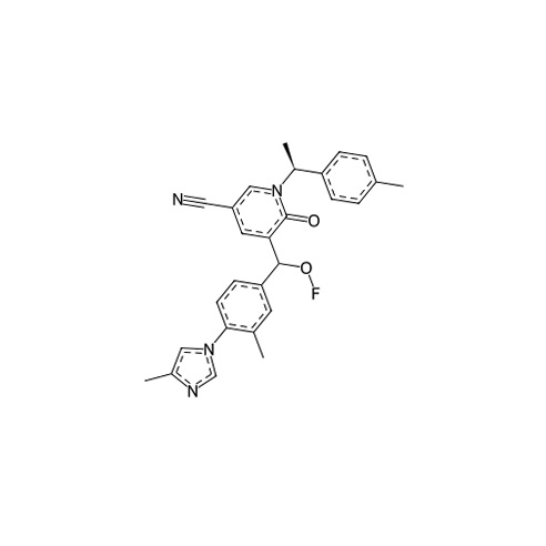 Cc1ccc([C@H](C)n2cc(C#N)cc(C(OF)c3ccc(-n4cnc(C)c4)c(C)c3)c2=O)cc1